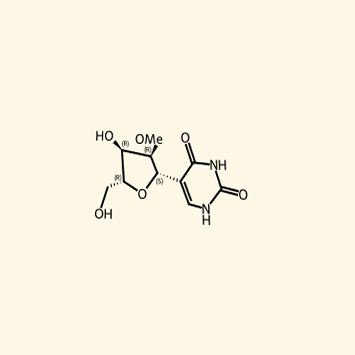 CO[C@@H]1[C@H](O)[C@@H](CO)O[C@H]1c1c[nH]c(=O)[nH]c1=O